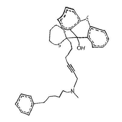 CN(CC#CCCC1(C2(O)c3ccccc3Sc3ccccc32)SCCCS1)CCCCc1ccccc1